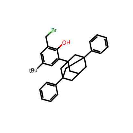 CC(C)(C)c1cc(CBr)c(O)c(C23CC4CC(c5ccccc5)(CC(c5ccccc5)(C4)C2)C3)c1